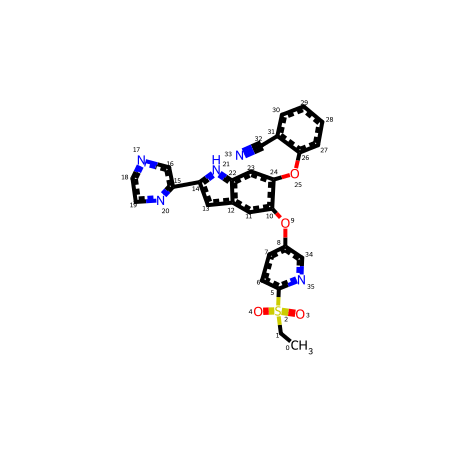 CCS(=O)(=O)c1ccc(Oc2cc3cc(-c4cnccn4)[nH]c3cc2Oc2ccccc2C#N)cn1